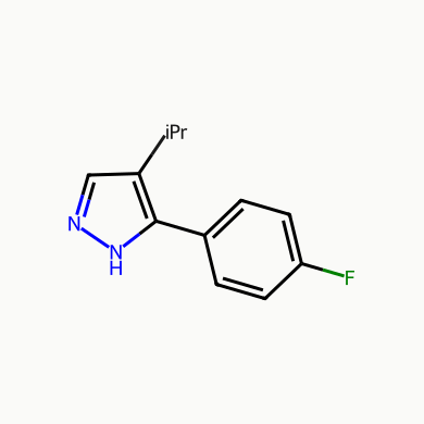 CC(C)c1cn[nH]c1-c1ccc(F)cc1